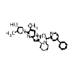 Cc1cn2nc([C@@H]3CCCCN3C(=O)c3cc(-c4ccccc4)ccn3)cc2nc1N1C[C@@H](C)[C@@H](O)C1